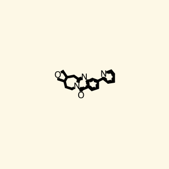 O=c1c2ccc(-c3ccccn3)cc2nc2n1CCC1COCC1C2